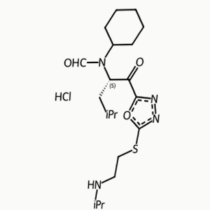 CC(C)C[C@@H](C(=O)c1nnc(SCCNC(C)C)o1)N(C=O)C1CCCCC1.Cl